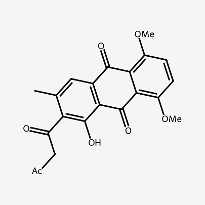 COc1ccc(OC)c2c1C(=O)c1cc(C)c(C(=O)CC(C)=O)c(O)c1C2=O